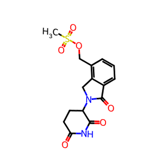 CS(=O)(=O)OCc1cccc2c1CN(C1CCC(=O)NC1=O)C2=O